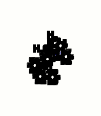 CN(C(N)c1ccccc1)C(/N=C/c1ccccc1)c1ccc(Nc2ccccc2-c2cccc(-c3ccccc3)c2)cc1